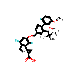 COc1ccc(F)c(-c2ccc(COc3cc(F)c4c(c3F)[C@@]3(CC4)CC3C(=O)O)cc2[C@H](OC)C(C)(C)C)c1